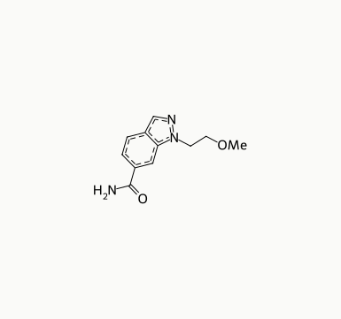 COCCn1ncc2ccc(C(N)=O)cc21